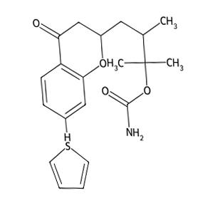 CC(CC1CC(=O)c2ccc([SH]3C=CC=C3)cc2O1)C(C)(C)OC(N)=O